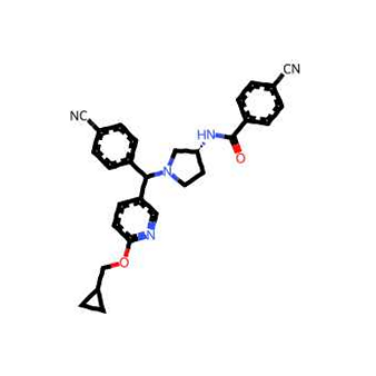 N#Cc1ccc(C(=O)N[C@@H]2CCN(C(c3ccc(C#N)cc3)c3ccc(OCC4CC4)nc3)C2)cc1